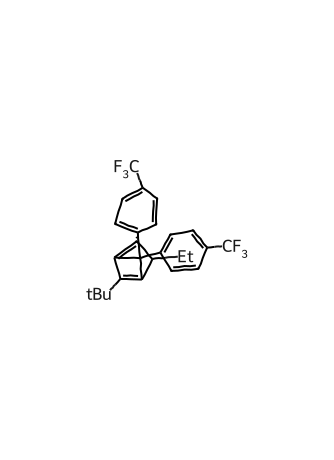 CCC1[C]=C2C(C(C)(C)C)=C1C2(c1ccc(C(F)(F)F)cc1)c1ccc(C(F)(F)F)cc1